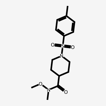 CON(C)C(=O)C1CCN(S(=O)(=O)c2ccc(C)cc2)CC1